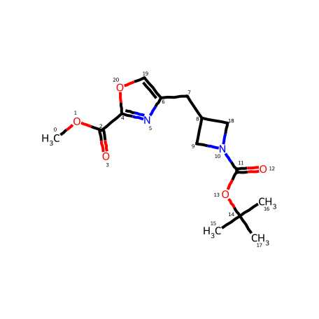 COC(=O)c1nc(CC2CN(C(=O)OC(C)(C)C)C2)co1